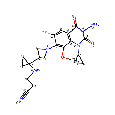 COc1c(N2CC(C3(NCCC#N)CC3)C2)c(F)cc2c(=O)n(N)c(=O)n(C3CC3)c12